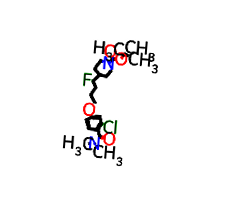 CN(C)C(=O)c1ccc(OCCCC(F)C2CCN(C(=O)OC(C)(C)C)CC2)cc1Cl